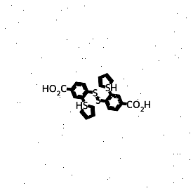 O=C(O)c1ccc(SSc2ccc(C(=O)O)cc2[SH]2C=CC=C2)c([SH]2C=CC=C2)c1